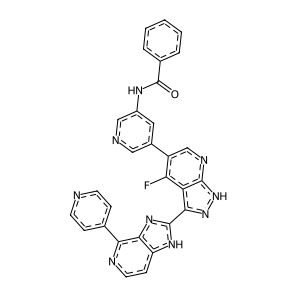 O=C(Nc1cncc(-c2cnc3[nH]nc(-c4nc5c(-c6ccncc6)nccc5[nH]4)c3c2F)c1)c1ccccc1